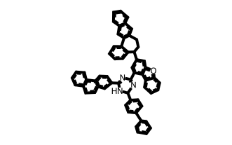 c1ccc(-c2ccc(C3N=C(c4cc(C5CCc6cc7ccccc7cc6-c6ccccc65)cc5oc6ccccc6c45)N=C(c4ccc5c(ccc6ccccc65)c4)N3)cc2)cc1